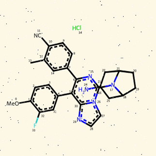 COc1ccc(-c2c(-c3ccc(C#N)c(C)c3)nc(N3C4CCC3CC(N)C4)n3ccnc23)cc1F.Cl